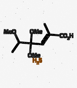 COC(C)C(C=C(C)C(=O)O)(OC)OC.S